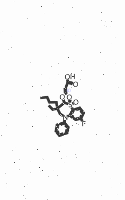 CCCCC1(CC)CN(c2ccccc2)c2cc(F)ccc2S(=O)(=O)C1O/C=C/C(=O)O